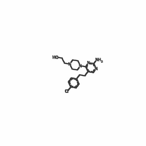 Nc1ncc(CCc2ccc(Cl)cc2)c(N2CCN(CCO)CC2)n1